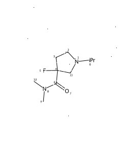 CC(C)N1CCC(F)(C(=O)N(C)C)C1